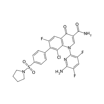 NC(=O)c1cn(-c2nc(N)c(F)cc2F)c2c(Cl)c(-c3ccc(S(=O)(=O)N4CCCC4)cc3)c(F)cc2c1=O